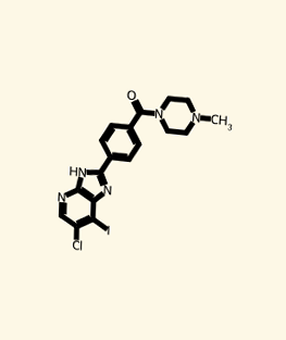 CN1CCN(C(=O)c2ccc(-c3nc4c(I)c(Cl)cnc4[nH]3)cc2)CC1